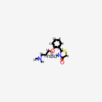 CCCCN1C(=O)CSC1c1ccccc1OCCCN(C)C